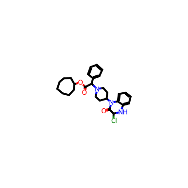 O=C(OC1CCCCCCC1)C(c1ccccc1)N1CCC(N2C(=O)C(Cl)Nc3ccccc32)CC1